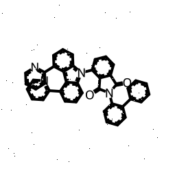 O=C1c2cccc(-n3c4cccc(-c5ccccn5)c4c4c(-c5ccccn5)cccc43)c2C(=O)N1c1ccccc1-c1ccccc1